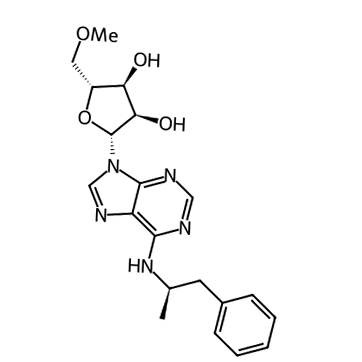 COC[C@H]1O[C@@H](n2cnc3c(N[C@H](C)Cc4ccccc4)ncnc32)[C@H](O)[C@@H]1O